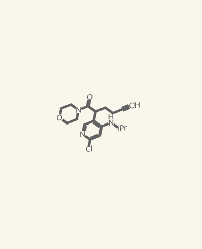 C#CCCC(C(=O)N1CCOCC1)c1cnc(Cl)cc1NC(C)C